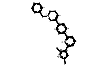 Cc1cc(-c2cccc(-c3ccc(C4=CCCN(Cc5ccccc5)C4)cc3)n2)c(C)[nH]1